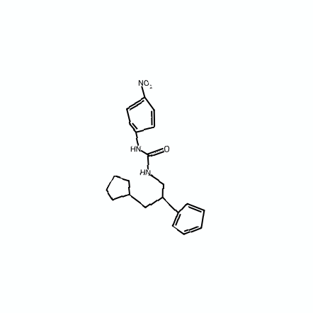 O=C(NCC(CC1CCCC1)c1ccccc1)Nc1ccc([N+](=O)[O-])cc1